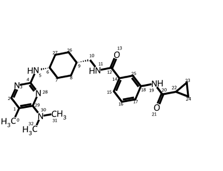 Cc1cnc(N[C@H]2CC[C@@H](CNC(=O)c3cccc(NC(=O)C4CC4)c3)CC2)nc1N(C)C